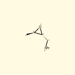 CCCC[C@H]1O[C@@H]1C